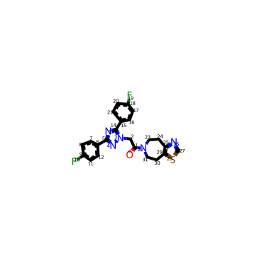 O=C(Cn1nc(-c2ccc(F)cc2)nc1-c1ccc(F)cc1)N1CCc2ncsc2CC1